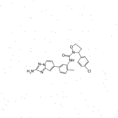 Cc1ccc(-c2ccn3nc(N)nc3c2)cc1NC(=O)N1OCCC1c1ccc(Cl)cc1